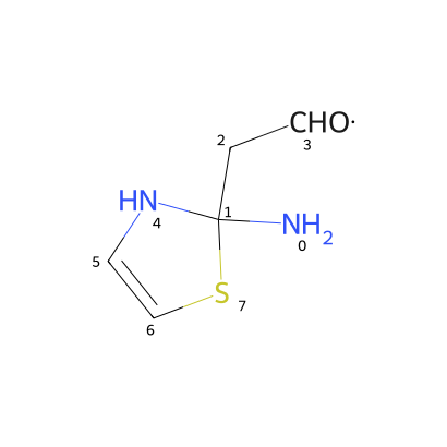 NC1(C[C]=O)NC=CS1